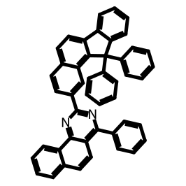 c1ccc(-c2nc(-c3ccc4ccc5c(c4c3)C(c3ccccc3)(c3ccccc3)c3ccccc3-5)nc3c2ccc2ccccc23)cc1